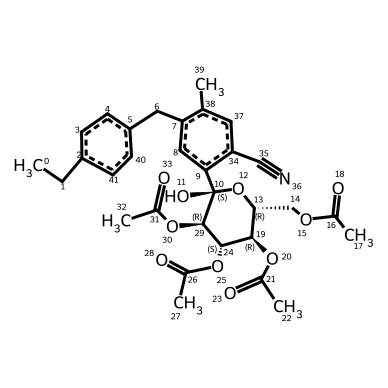 CCc1ccc(Cc2cc([C@]3(O)O[C@H](COC(C)=O)[C@@H](OC(C)=O)[C@H](OC(C)=O)[C@H]3OC(C)=O)c(C#N)cc2C)cc1